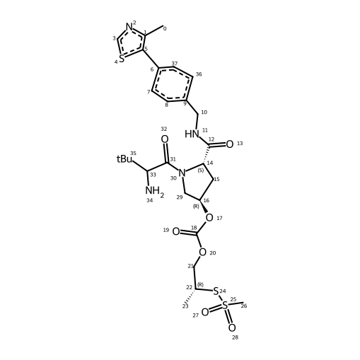 Cc1ncsc1-c1ccc(CNC(=O)[C@@H]2C[C@@H](OC(=O)OC[C@@H](C)SS(C)(=O)=O)CN2C(=O)C(N)C(C)(C)C)cc1